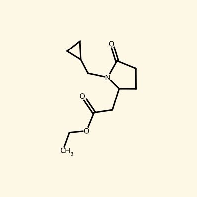 CCOC(=O)CC1CCC(=O)N1CC1CC1